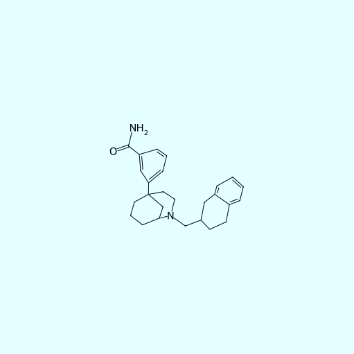 NC(=O)c1cccc(C23CCCC(C2)N(CC2CCc4ccccc4C2)CC3)c1